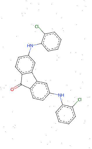 O=C1c2ccc(Nc3ccccc3Cl)cc2-c2cc(Nc3ccccc3Cl)ccc21